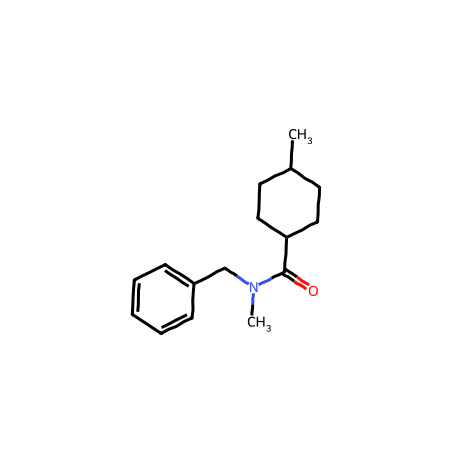 CC1CCC(C(=O)N(C)Cc2ccccc2)CC1